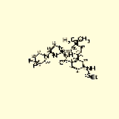 CCSNc1ccc(C(=O)Nc2nccc(N3CCC(F)(F)CC3)n2)c(C2CCC(C)(C)CC2)c1